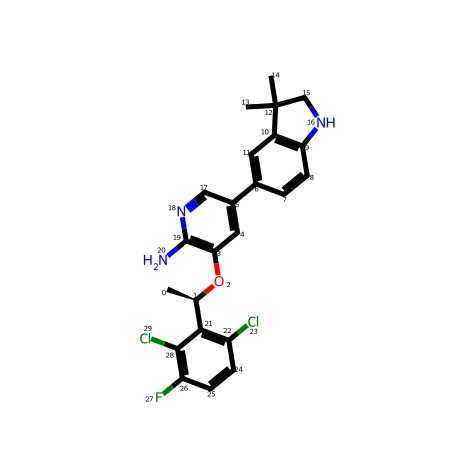 C[C@@H](Oc1cc(-c2ccc3c(c2)C(C)(C)CN3)cnc1N)c1c(Cl)ccc(F)c1Cl